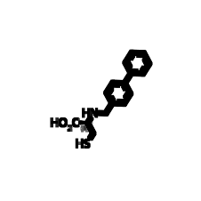 O=C(O)[C@H](CS)NCc1ccc(-c2ccccc2)cc1